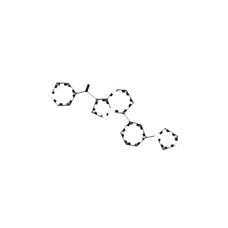 O=C(c1ccncc1)c1cnn2c(-c3cccc(-n4ccnc4)c3)ccnc12